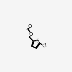 O=[C]OCc1ccc(Cl)s1